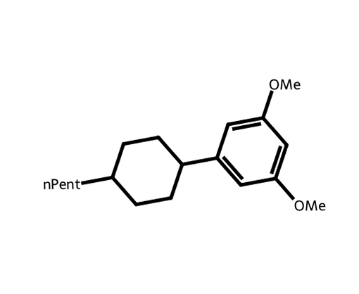 CCCCCC1CCC(c2cc(OC)cc(OC)c2)CC1